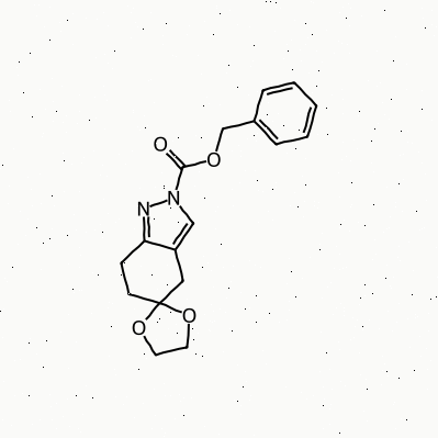 O=C(OCc1ccccc1)n1cc2c(n1)CCC1(C2)OCCO1